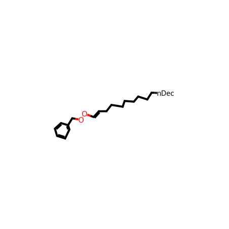 CCCCCCCCCCCCCCCCCCC=COOCc1ccccc1